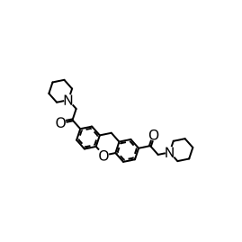 O=C(CN1CCCCC1)c1ccc2c(c1)Cc1cc(C(=O)CN3CCCCC3)ccc1O2